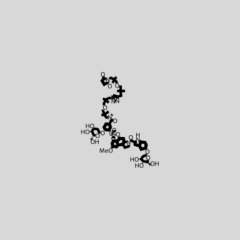 COc1ccc2c(OS(=O)(=O)Oc3cc(C(=O)N(C)CC(C)(C)COCC(C)(C)Cn4cc(CC(C)(C)COCC(C)(C)CN5C(=O)C=CC5=O)nn4)ccc3O[C@H]3CC(O)[C@@H](O)[C@@H](CO)O3)cc3c(c2c1)CCN3C(=O)c1cc2cc(O[C@H]3C[C@@H](O)[C@@H](O)[C@@H](CO)O3)ccc2[nH]1